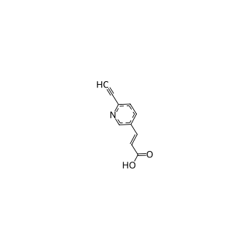 C#Cc1ccc(C=CC(=O)O)cn1